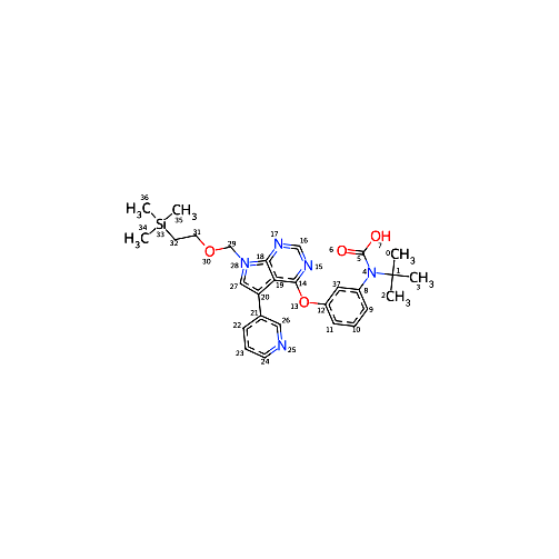 CC(C)(C)N(C(=O)O)c1cccc(Oc2ncnc3c2c(-c2cccnc2)cn3COCC[Si](C)(C)C)c1